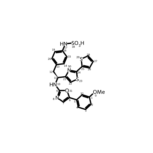 COc1cccc(-c2cnc(N[C@@H](Cc3ccc(NS(=O)(=O)O)cc3)c3csc(-c4cccs4)n3)o2)c1